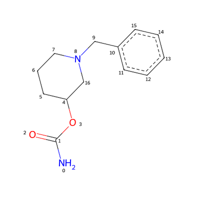 NC(=O)OC1CCCN(Cc2ccccc2)C1